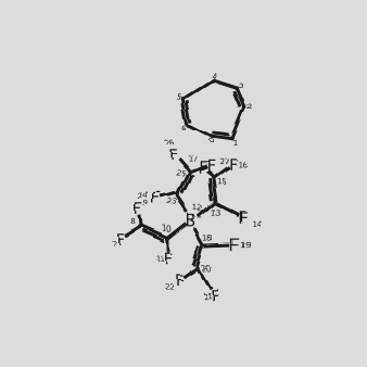 C1=CC=CCC=C1.FC(F)=C(F)[B-](C(F)=C(F)F)(C(F)=C(F)F)C(F)=C(F)F